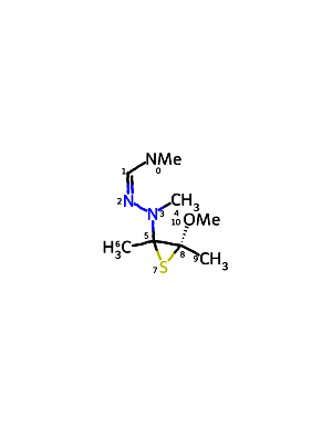 CN/C=N\N(C)C1(C)S[C@@]1(C)OC